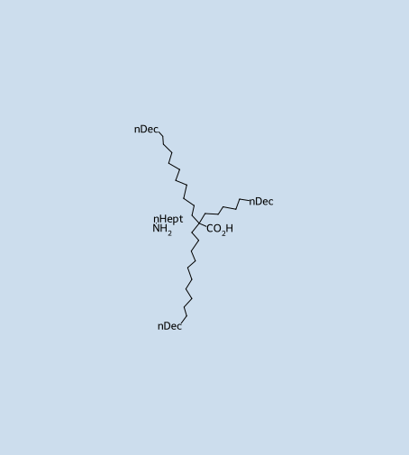 CCCCCCCCCCCCCCCCCCCCC(CCCCCCCCCCCCCCC)(CCCCCCCCCCCCCCCCCCCC)C(=O)O.CCCCCCCN